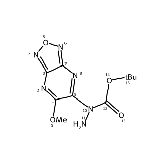 COc1nc2nonc2nc1N(N)C(=O)OC(C)(C)C